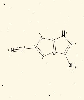 Bc1n[nH]c2sc(C#N)cc12